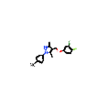 Cc1nn(-c2ccc(C#N)cc2)c(C)c1COc1ccc(F)c(Cl)c1